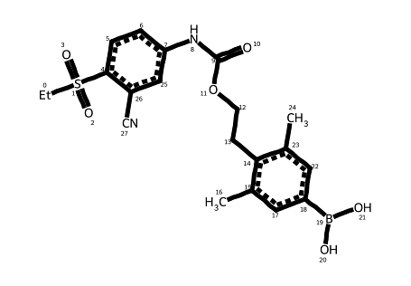 CCS(=O)(=O)c1ccc(NC(=O)OCCc2c(C)cc(B(O)O)cc2C)cc1C#N